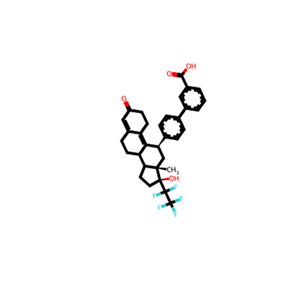 C[C@]12C[C@H](c3ccc(-c4cccc(C(=O)O)c4)cc3)C3=C4CCC(=O)C=C4CCC3C1CC[C@@]2(O)C(F)(F)C(F)(F)F